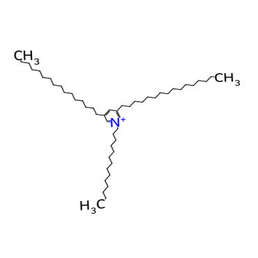 CCCCCCCCCCCCCCCCc1cc(CCCCCCCCCCCCCCCC)c[n+](CCCCCCCCCCCCCC)c1